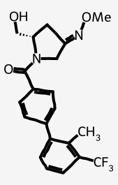 CO/N=C1\C[C@@H](CO)N(C(=O)c2ccc(-c3cccc(C(F)(F)F)c3C)cc2)C1